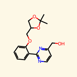 CC1(C)OCC(COc2ccccc2-c2nccc(CO)n2)O1